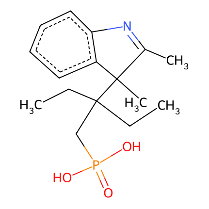 CCC(CC)(CP(=O)(O)O)C1(C)C(C)=Nc2ccccc21